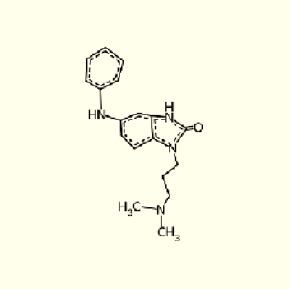 CN(C)CCCn1c(=O)[nH]c2cc(Nc3ccccc3)ccc21